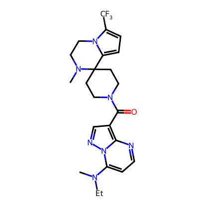 CCN(C)c1ccnc2c(C(=O)N3CCC4(CC3)c3ccc(C(F)(F)F)n3CCN4C)cnn12